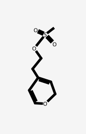 CS(=O)(=O)OCCC1=CCOC=C1